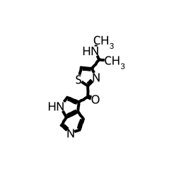 CNC(C)c1csc(C(=O)c2c[nH]c3cnccc23)n1